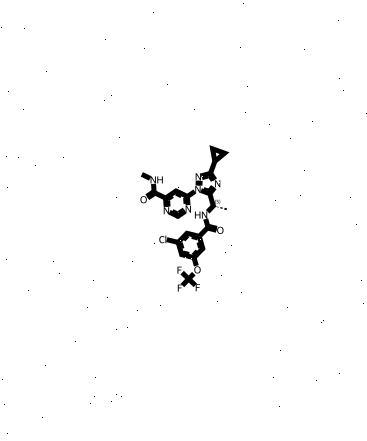 CNC(=O)c1cc(-n2nc(C3CC3)nc2[C@H](C)NC(=O)c2cc(Cl)cc(OC(F)(F)F)c2)ncn1